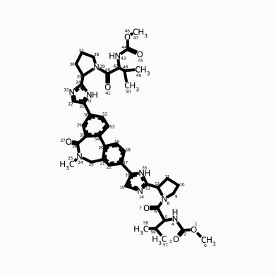 COC(=O)NC(C(=O)N1CCCC1c1ncc(-c2ccc3c(c2)CN(C)C(=O)c2cc(-c4cnc(C5CCCN5C(=O)C(NC(=O)OC)C(C)C)[nH]4)ccc2-3)[nH]1)C(C)C